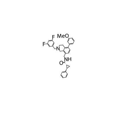 COc1cccc(-c2ccc(CNC(=O)[C@@H]3C[C@H]3c3ccccc3)c3c2CCN(Cc2cc(F)cc(F)c2)C3)c1